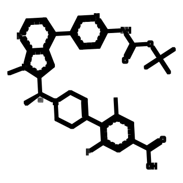 Cc1cc(C(=O)O)cc(F)c1C1=CCN([C@@H](C)c2cc3c(-c4ccc(NC(=O)OC(C)(C)C)nc4)ccnc3n2C)CC1